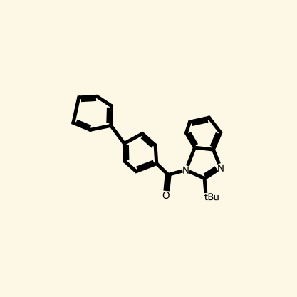 CC(C)(C)c1nc2ccccc2n1C(=O)c1ccc(-c2ccccc2)cc1